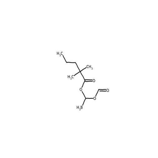 BC(OC=O)OC(=O)C(C)(C)CCC